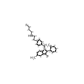 Cc1ccc2c(c1)c(F)c(-c1ccccc1C)n2Cc1ccc(CCNCCCF)cc1